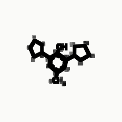 Cc1cc(C2CCCC2)c(O)c(C2CCCC2)c1